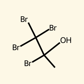 CC(O)(Br)C(Br)(Br)Br